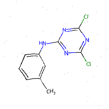 Cc1cccc(Nc2nc(Cl)nc(Cl)n2)c1